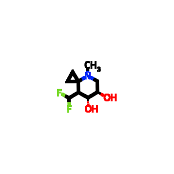 CN1C[C@@H](O)[C@H](O)C(C(F)F)C12CC2